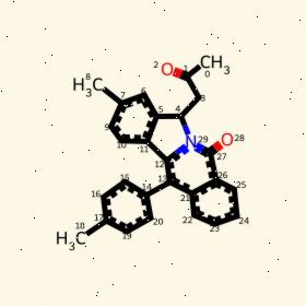 CC(=O)CC1c2cc(C)ccc2-c2c(-c3ccc(C)cc3)c3ccccc3c(=O)n21